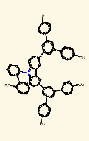 CC(C)(C)c1ccc(-c2cc(-c3ccc(C(C)(C)C)cc3)cc(-c3ccc4c(c3)c3cc(-c5cc(-c6ccc(C(C)(C)C)cc6)cc(-c6ccc(C(C)(C)C)cc6)c5)ccc3n4-c3ccccc3-c3ccccc3C(F)(F)F)c2)cc1